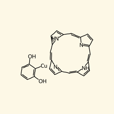 C1=Cc2cc3ccc(cc4nc(cc5ccc(cc1n2)[nH]5)C=C4)[nH]3.Oc1cccc(O)[c]1[Cu]